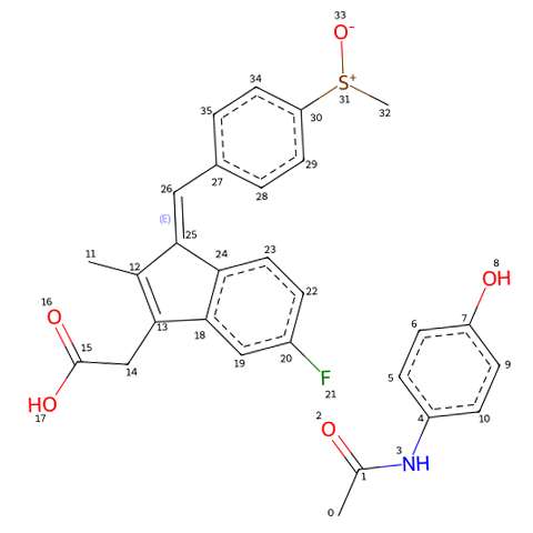 CC(=O)Nc1ccc(O)cc1.CC1=C(CC(=O)O)c2cc(F)ccc2/C1=C\c1ccc([S+](C)[O-])cc1